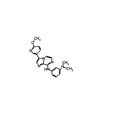 COc1ccc(-c2cnc3c(Nc4cccc(N(C)C)c4)nccn23)cn1